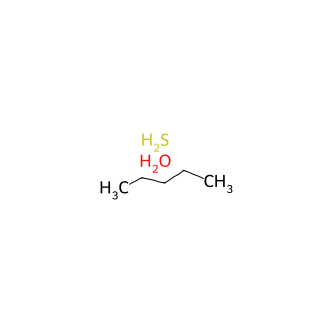 CCCCC.O.S